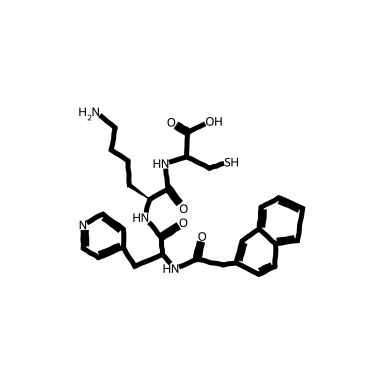 NCCCC[C@H](NC(=O)C(Cc1ccncc1)NC(=O)Cc1ccc2ccccc2c1)C(=O)NC(CS)C(=O)O